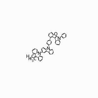 CC1(C)c2ccccc2N(c2ccc3c(c2)c2ccccc2n3-c2ccc(-c3cccc4oc5c(c6ccccc6n5-c5ccccc5)c34)cc2)c2ccccc21